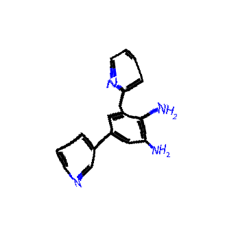 Nc1cc(-c2cccnc2)cc(-c2ccccn2)c1N